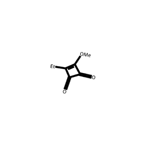 CCc1c(OC)c(=O)c1=O